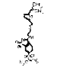 CN(C)Cc1ccc(CSCCNC2=NS(=O)(=O)c3cc(S(=O)(=O)N(C)C)ccc32)o1